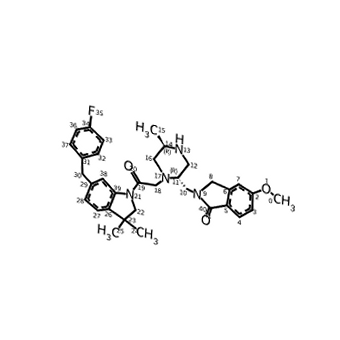 COc1ccc2c(c1)CN(C[C@H]1CN[C@H](C)CN1CC(=O)N1CC(C)(C)c3ccc(Cc4ccc(F)cc4)cc31)C2=O